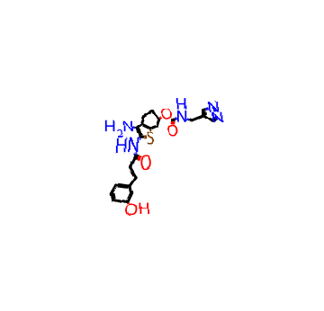 Cn1cc(CNC(=O)OC2CCc3c(sc(NC(=O)CCC4=CC=CC(O)C4)c3N)C2)cn1